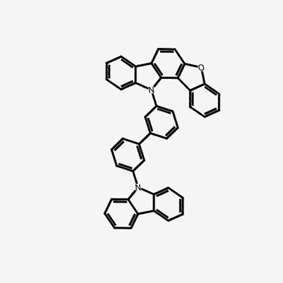 c1cc(-c2cccc(-n3c4ccccc4c4ccc5oc6ccccc6c5c43)c2)cc(-n2c3ccccc3c3ccccc32)c1